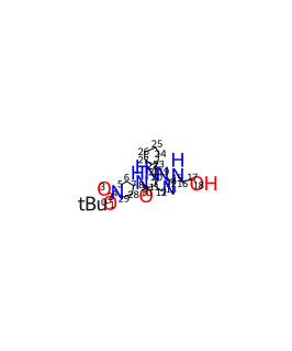 CC(C)(C)OC(=O)N1CCC(NC(=O)c2cnc(NCCO)nc2NC2CCCCC2)CC1